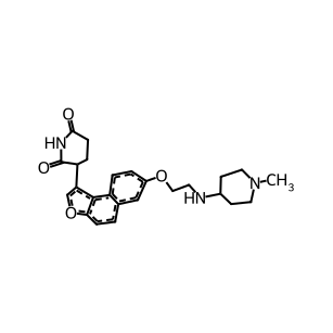 CN1CCC(NCCOc2ccc3c(ccc4occ(C5CCC(=O)NC5=O)c43)c2)CC1